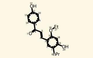 CCCc1cc(C=CC(=O)c2ccc(O)cc2)c(OCC)cc1O